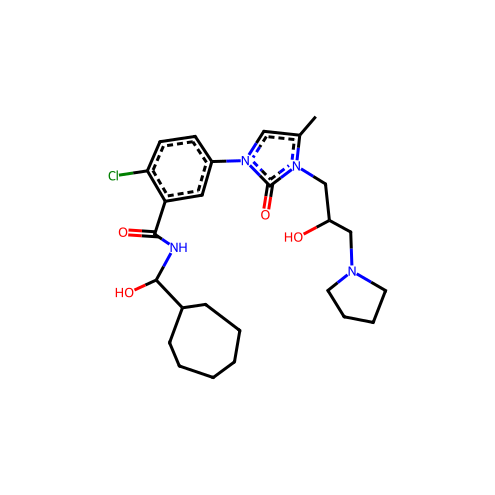 Cc1cn(-c2ccc(Cl)c(C(=O)NC(O)C3CCCCCC3)c2)c(=O)n1CC(O)CN1CCCC1